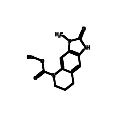 Cn1c(=O)[nH]c2cc3c(cc21)N(C(=O)OC(C)(C)C)CCC3